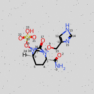 NC(=O)[C@@H]1CC[C@@H]2C[N+]1(OCc1c[nH]cn1)C(=O)N2OS(=O)(=O)O